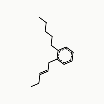 [CH2]CCCCc1ccccc1CC=CCC